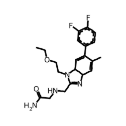 CCOCCN1C(CNCC(N)=O)=NC2C=C(C)C(c3ccc(F)c(F)c3)=CC21